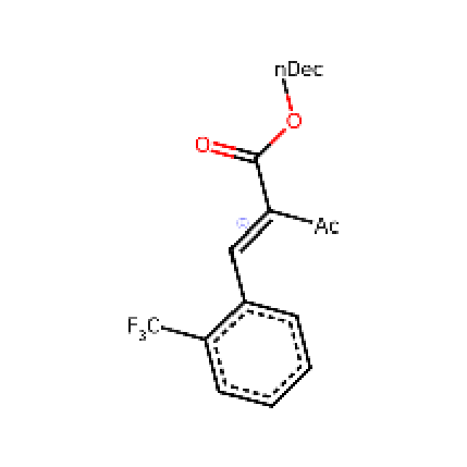 CCCCCCCCCCOC(=O)/C(=C/c1ccccc1C(F)(F)F)C(C)=O